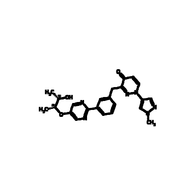 C[C@H](O)[C@@H](C)Oc1cnc(-c2cccc(Cc3nn(-c4cnn(C)c4)ccc3=O)c2)nc1